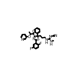 CNC(=NC#N)NCCCC1(c2ccccc2)SC(c2cc(F)ccc2F)=NN1C(=O)C(C)Oc1cccnc1